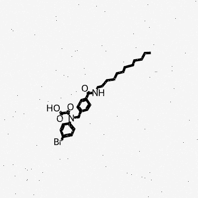 CCCCCCCCCCCCNC(=O)c1ccc(CN(C(=O)C(=O)O)c2ccc(Br)cc2)cc1